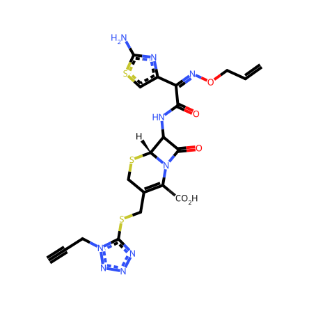 C#CCn1nnnc1SCC1=C(C(=O)O)N2C(=O)C(NC(=O)/C(=N\OCC=C)c3csc(N)n3)[C@H]2SC1